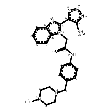 CN1CCN(Cc2ccc(NC(=O)Cn3c(-c4nonc4N)nc4ccccc43)cc2)CC1